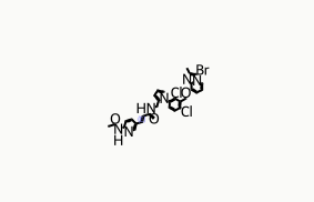 CC(=O)Nc1ccc(/C=C/C(=O)NCc2cccn2-c2ccc(Cl)c(COc3cccn4c(Br)c(C)nc34)c2Cl)cn1